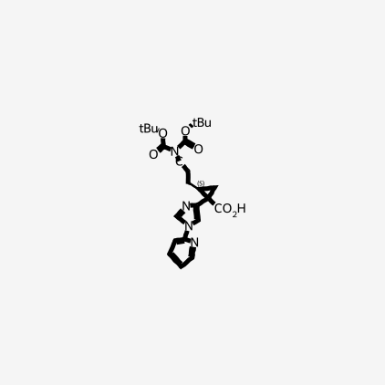 CC(C)(C)OC(=O)N(CCC[C@H]1CC1(C(=O)O)c1cn(-c2ccccn2)cn1)C(=O)OC(C)(C)C